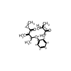 C=C(C(=O)OC)C(C)Oc1ccccc1.C=C(C)C(=O)O